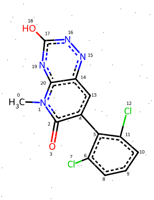 Cn1c(=O)c(-c2c(Cl)cccc2Cl)cc2nnc(O)nc21